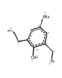 CC(C)Cc1cc(C(C)(C)C)cc(CC(C)C)c1O